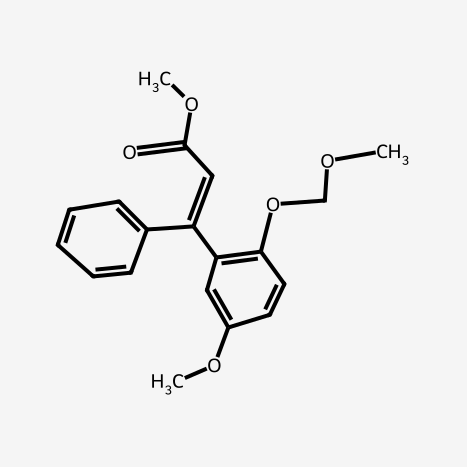 COCOc1ccc(OC)cc1C(=CC(=O)OC)c1ccccc1